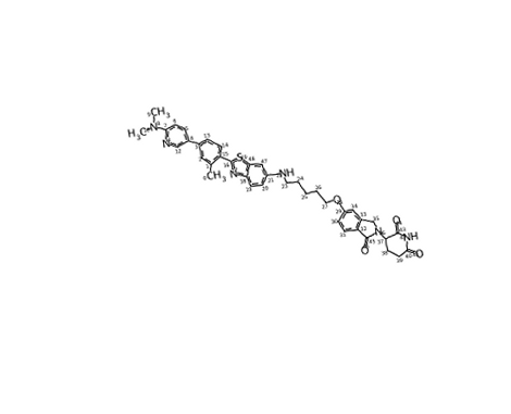 Cc1cc(-c2ccc(N(C)C)nc2)ccc1-c1nc2ccc(NCCCCCOc3ccc4c(c3)CN(C3CCC(=O)NC3=O)C4=O)cc2s1